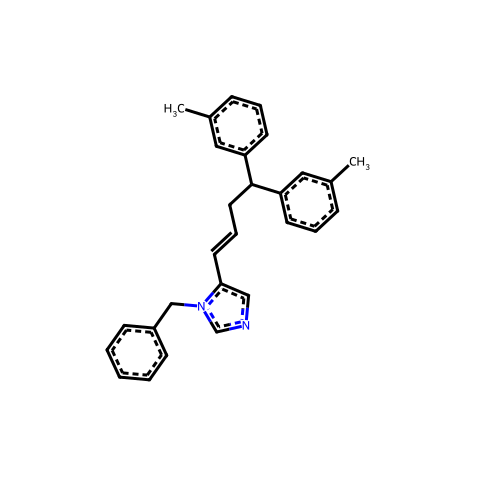 Cc1cccc(C(C/C=C/c2cncn2Cc2ccccc2)c2cccc(C)c2)c1